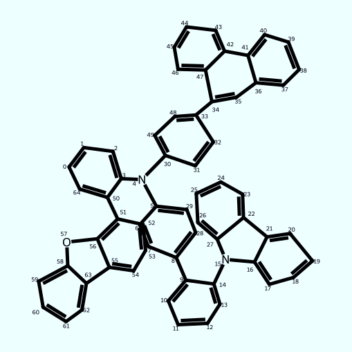 c1ccc(N(c2ccc(-c3ccccc3-n3c4ccccc4c4ccccc43)cc2)c2ccc(-c3cc4ccccc4c4ccccc34)cc2)c(-c2cccc3c2oc2ccccc23)c1